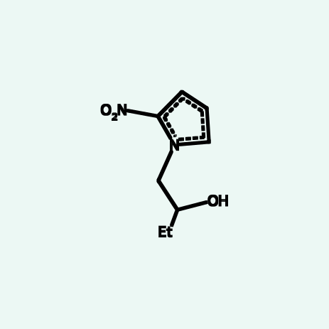 CCC(O)Cn1cccc1[N+](=O)[O-]